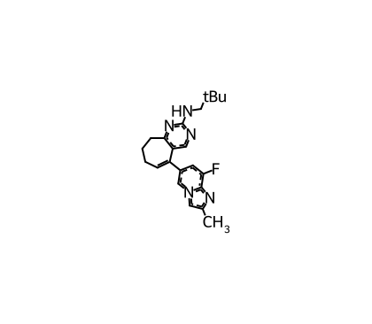 Cc1cn2cc(C3=CCCCc4nc(NCC(C)(C)C)ncc43)cc(F)c2n1